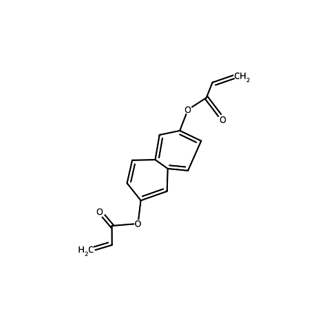 C=CC(=O)Oc1ccc2cc(OC(=O)C=C)ccc2c1